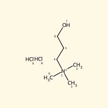 C[N+](C)(C)CCCO.Cl.Cl